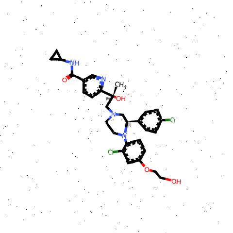 C[C@@](O)(CN1CCN(c2ccc(OCCO)cc2Cl)[C@H](c2ccc(Cl)cc2)C1)c1ccc(C(=O)NC2CC2)cn1